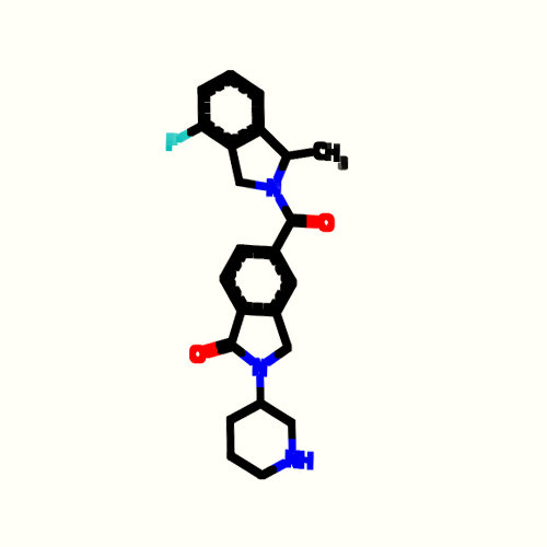 CC1c2cccc(F)c2CN1C(=O)c1ccc2c(c1)CN(C1CCCNC1)C2=O